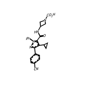 CC(C)n1nc(-c2ccc(C#N)cc2)c(C2CC2)c1C(=O)NC1CN(C(=O)O)C1